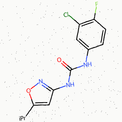 CC(C)c1cc(NC(=O)Nc2ccc(F)c(Cl)c2)no1